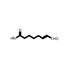 CCCCC(=O)CCCCC=CC=O